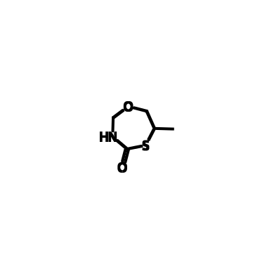 CC1COCNC(=O)S1